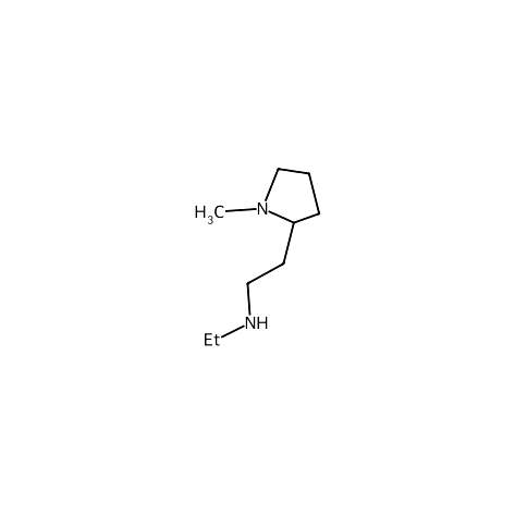 CCNCCC1CCCN1C